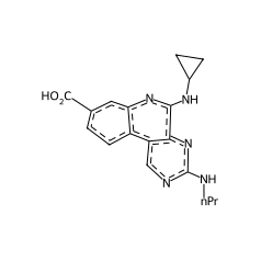 CCCNc1ncc2c(n1)c(NC1CC1)nc1cc(C(=O)O)ccc12